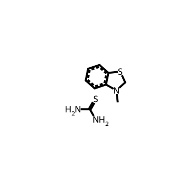 CN1CSc2ccccc21.NC(N)=S